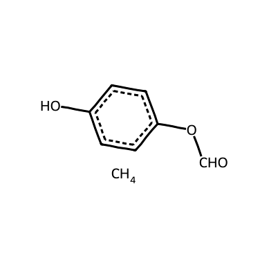 C.O=COc1ccc(O)cc1